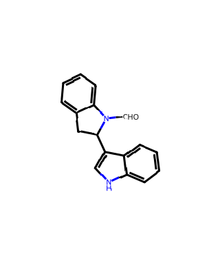 O=CN1c2ccccc2CC1c1c[nH]c2ccccc12